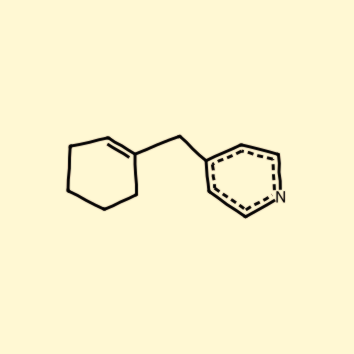 C1=C(Cc2ccncc2)CCCC1